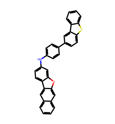 c1ccc2cc3c(cc2c1)oc1cc(Nc2ccc(-c4ccc5sc6ccccc6c5c4)cc2)ccc13